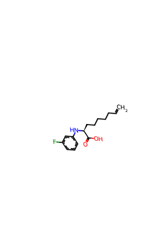 C=CCCCCC[C@H](Nc1cccc(F)c1)C(=O)O